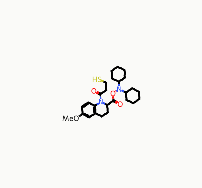 COc1ccc2c(c1)CCC(C(=O)ON(C1CCCCC1)C1CCCCC1)N2C(=O)CCS